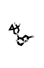 FC1(F)CN(c2nccn3nc(Br)cc23)CC12CC2